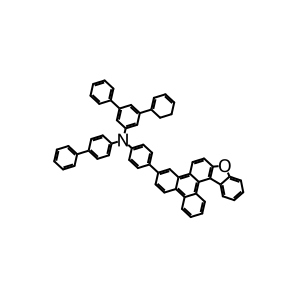 C1=CCCC(c2cc(-c3ccccc3)cc(N(c3ccc(-c4ccccc4)cc3)c3ccc(-c4ccc5c6ccccc6c6c(ccc7oc8ccccc8c76)c5c4)cc3)c2)=C1